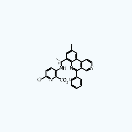 Cc1cc([C@@H](C)Nc2ccc(Cl)nc2C(=O)O)c2nc(-c3ccccc3)c3cnccc3c2c1